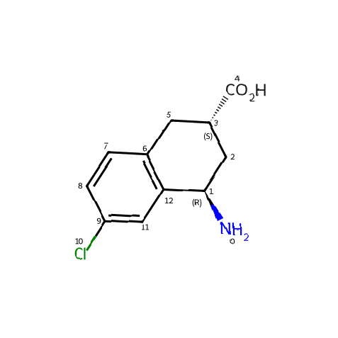 N[C@@H]1C[C@@H](C(=O)O)Cc2ccc(Cl)cc21